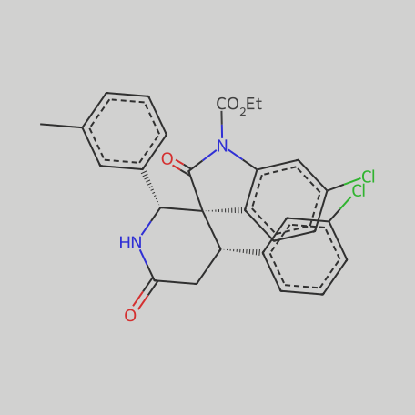 CCOC(=O)N1C(=O)[C@]2(c3ccc(Cl)cc31)[C@@H](c1cccc(C)c1)NC(=O)C[C@H]2c1cccc(Cl)c1